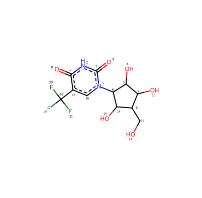 O=c1[nH]c(=O)n(C2C(O)C(O)C(CO)C2O)cc1C(F)(F)F